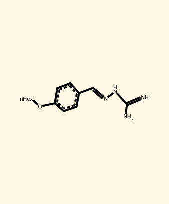 CCCCCCOc1ccc(C=NNC(=N)N)cc1